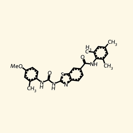 COc1ccc(NC(=O)Nc2nc3ccc(C(=O)Nc4c(C)cc(C)cc4C)cc3s2)c(C)c1